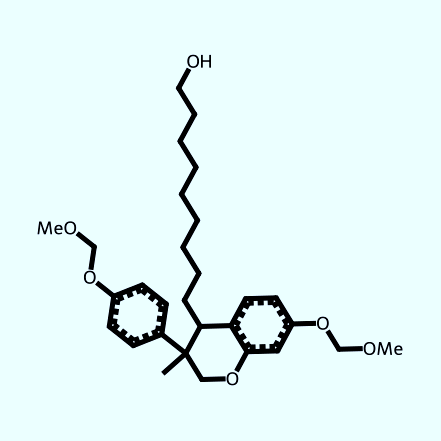 COCOc1ccc(C2(C)COc3cc(OCOC)ccc3C2CCCCCCCCCO)cc1